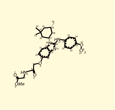 COC(=O)CNC(=O)COc1ccc2c(c1)nc(Nc1ccc(OC(F)(F)F)cc1)n2[C@H]1C[C@@H](C)CC(C)(C)C1